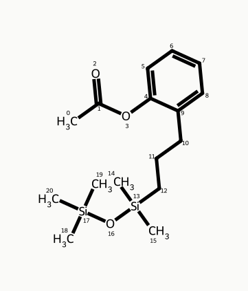 CC(=O)Oc1ccccc1CCC[Si](C)(C)O[Si](C)(C)C